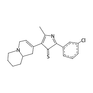 CC1=C(C2=CCN3CCCCC3C2)C(=S)C(c2cccc(Cl)c2)=N1